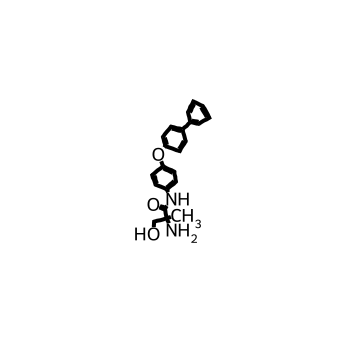 CC(N)(CO)C(=O)Nc1ccc(Oc2ccc(-c3ccccc3)cc2)cc1